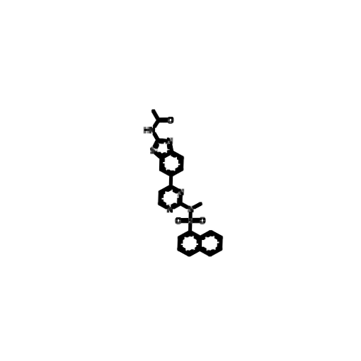 CC(=O)Nc1nc2ccc(-c3ccnc(N(C)S(=O)(=O)c4cccc5ccccc45)n3)cc2s1